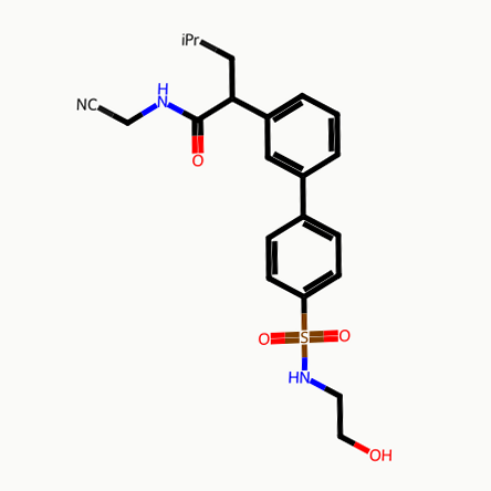 CC(C)CC(C(=O)NCC#N)c1cccc(-c2ccc(S(=O)(=O)NCCO)cc2)c1